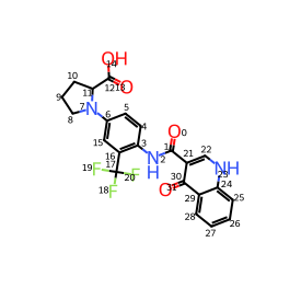 O=C(Nc1ccc(N2CCCC2C(=O)O)cc1C(F)(F)F)c1c[nH]c2ccccc2c1=O